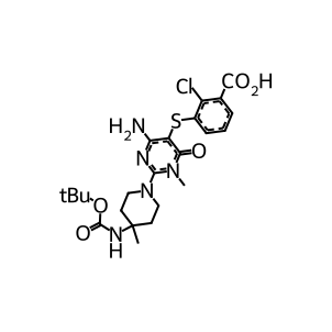 Cn1c(N2CCC(C)(NC(=O)OC(C)(C)C)CC2)nc(N)c(Sc2cccc(C(=O)O)c2Cl)c1=O